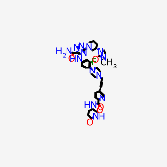 CN1CCN([C@@H]2CCCN(c3nnc(C(N)=O)c(Nc4ccc(N5CCN(CC#Cc6ccc(C(=O)NC7CCC(=O)NC7=O)nc6)CC5)c(F)c4)n3)C2)C1=O